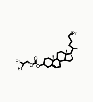 CCC(CC)COC(=O)OC1CC[C@@]2(C)C(=CCC3C2CC[C@@]2(C)C3CC[C@@H]2[C@H](C)CCCC(C)C)C1